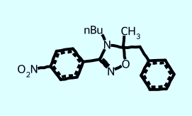 CCCCN1C(c2ccc([N+](=O)[O-])cc2)=NOC1(C)Cc1ccccc1